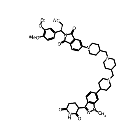 CCOc1cc([C@@H](CC#N)N2C(=O)c3ccc(N4CCC(CN5CCC(CN6CCC(c7ccc8c(C9CCC(=O)NC9=O)nn(C)c8c7)CC6)CC5)CC4)cc3C2=O)ccc1OC